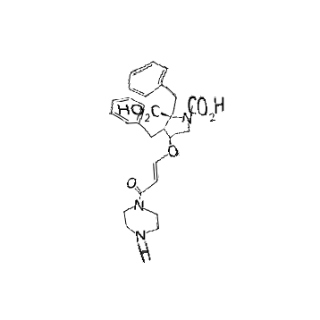 O=C(C=CO[C@@H]1CN(C(=O)O)[C@](Cc2ccccc2)(C(=O)O)C1Cc1ccccc1)N1CCNCC1